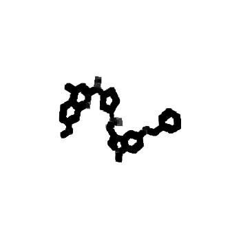 COc1ccc2c(C)cc(N[C@H]3CC[C@H](NCc4cn(C)c5ccc(OCc6ccccc6)cc45)C3)nc2c1